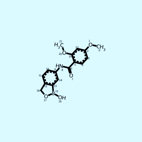 COc1ccc(C(=O)Nc2ccc3c(c2)B(O)OC3)c(OC)c1